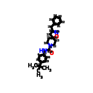 CC(C)(C)c1ccc(NC(=O)N2CCC3(CC2)CC(Cc2ccccc2)=NO3)cc1